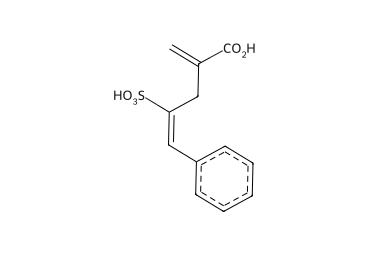 C=C(CC(=Cc1ccccc1)S(=O)(=O)O)C(=O)O